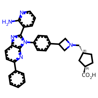 Nc1ncccc1-c1nc2ccc(-c3ccccc3)nc2n1-c1ccc(C2CN(C[C@@H]3CC[C@@H](C(=O)O)C3)C2)cc1